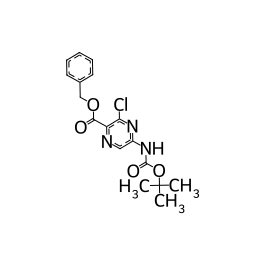 CC(C)(C)OC(=O)Nc1cnc(C(=O)OCc2ccccc2)c(Cl)n1